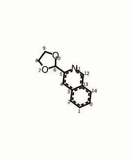 c1ccc2cc(C3OCCO3)ncc2c1